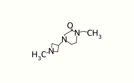 CCN1CCN(C2CN(C)C2)CC1=O